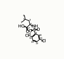 CC(C)CC(NS(=O)(=O)c1cc(Cl)ccc1Cl)C(=O)O